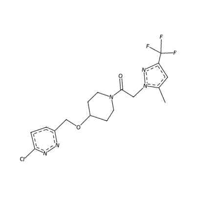 Cc1cc(C(F)(F)F)nn1CC(=O)N1CCC(OCc2ccc(Cl)nn2)CC1